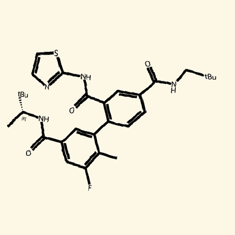 Cc1c(F)cc(C(=O)N[C@H](C)C(C)(C)C)cc1-c1ccc(C(=O)NCC(C)(C)C)cc1C(=O)Nc1nccs1